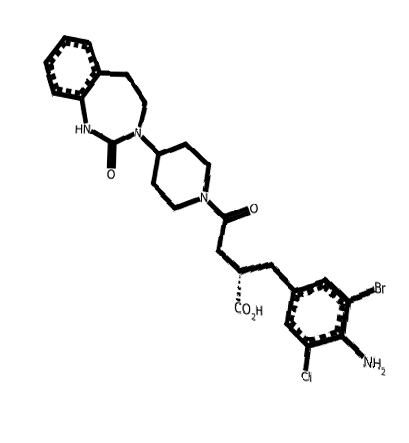 Nc1c(Cl)cc(C[C@@H](CC(=O)N2CCC(N3CCc4ccccc4NC3=O)CC2)C(=O)O)cc1Br